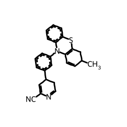 CC1C=CC2=C(C1)Sc1ccccc1N2c1cccc(C2C=C(C#N)N=CC2)c1